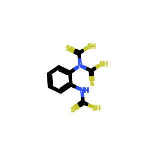 S=C(S)Nc1ccccc1N(C(=S)S)C(=S)S